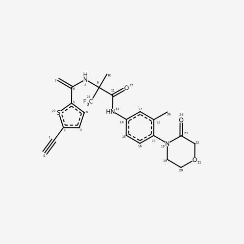 C#Cc1ccc(C(=C)NC(C)(C(=O)Nc2ccc(N3CCOCC3=O)c(C)c2)C(F)(F)F)s1